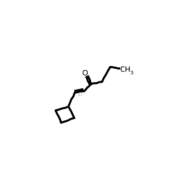 CCCC(=O)/C=C/C1CCC1